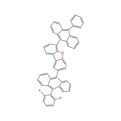 Fc1cccc(F)c1-c1c2ccccc2c(-c2ccc3oc4c(-c5c6ccccc6c(-c6ccccc6)c6ccccc56)cccc4c3c2)c2ccccc12